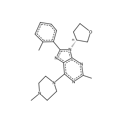 Cc1nc(N2CCN(C)CC2)c2nc(-c3ccccc3C)n([C@@H]3CCOC3)c2n1